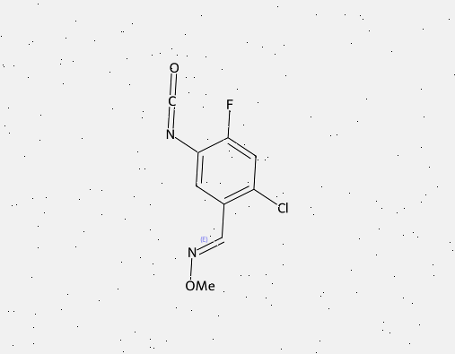 CO/N=C/c1cc(N=C=O)c(F)cc1Cl